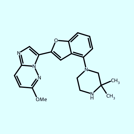 COc1ccc2ncc(-c3cc4c(N5CCNC(C)(C)C5)cccc4o3)n2n1